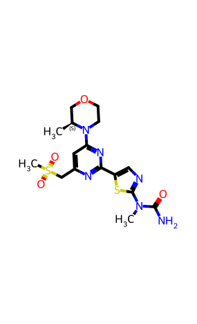 C[C@H]1COCCN1c1cc(CS(C)(=O)=O)nc(-c2cnc(N(C)C(N)=O)s2)n1